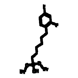 CC(C)O[Si](O)(CCCCCCc1ccc(F)cc1F)OC(C)C